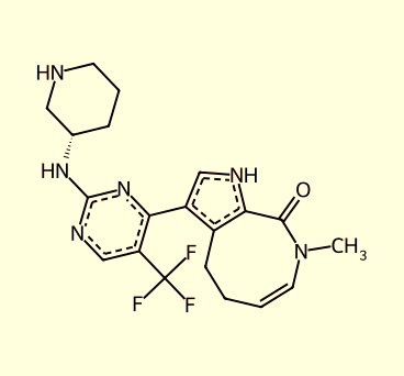 CN1C=CCCc2c(-c3nc(N[C@H]4CCCNC4)ncc3C(F)(F)F)c[nH]c2C1=O